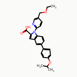 CCOCc1ccc(-n2c(C(=O)O)cc3cc(-c4ccc(OC(C)C)cc4)ccc32)nc1